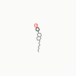 CCCCCCCC1CCC2CC(c3ccc(OC)cc3)CCC2C1